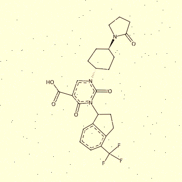 O=C(O)c1cn([C@H]2CC[C@H](N3CCCC3=O)CC2)c(=O)n(C2CCc3c2cccc3C(F)(F)F)c1=O